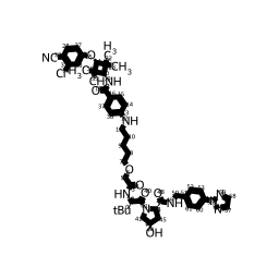 CC(C)(C)[C@H](NC(=O)COCCCCCNc1ccc(C(=O)N[C@H]2C(C)(C)[C@H](Oc3ccc(C#N)c(Cl)c3)C2(C)C)cc1)C(=O)N1C[C@H](O)C[C@H]1C(=O)NCc1ccc(-n2nccn2)cc1